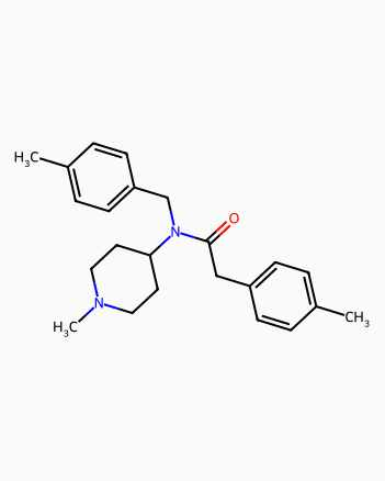 Cc1ccc(CC(=O)N(Cc2ccc(C)cc2)C2CCN(C)CC2)cc1